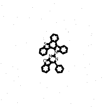 c1ccc(-c2nc(-n3c4ccccc4c4c5ccccc5c5sc6ccccc6c5c43)nc3oc4ccccc4c23)cc1